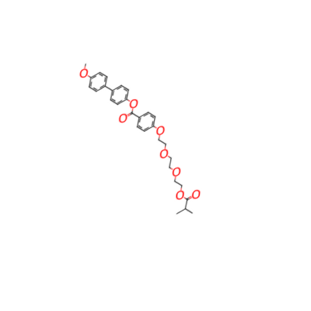 COc1ccc(-c2ccc(OC(=O)c3ccc(OCCOCCOCCOC(=O)C(C)C)cc3)cc2)cc1